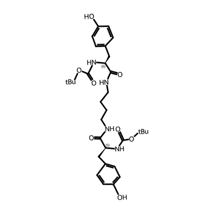 CC(C)(C)OC(=O)N[C@@H](Cc1ccc(O)cc1)C(=O)NCCCCNC(=O)[C@H](Cc1ccc(O)cc1)NC(=O)OC(C)(C)C